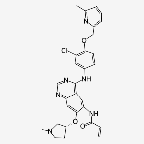 C=CC(=O)Nc1cc2c(Nc3ccc(OCc4cccc(C)n4)c(Cl)c3)ncnc2cc1O[C@@H]1CCN(C)C1